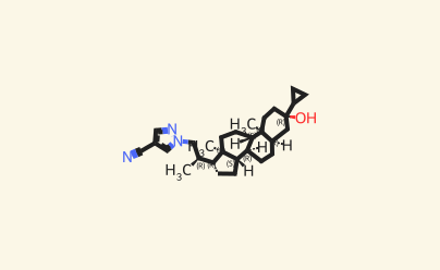 C[C@@H](Cn1cc(C#N)cn1)[C@H]1CC[C@H]2[C@@H]3CC[C@@H]4C[C@@](O)(C5CC5)CC[C@]4(C)[C@H]3CC[C@]12C